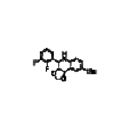 CC(C)(C)c1ccc2c(c1)C1OCOC1C(c1cccc(F)c1F)N2